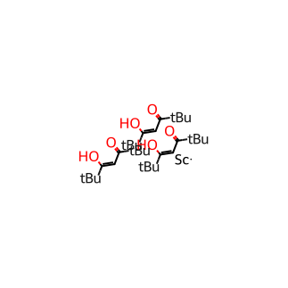 CC(C)(C)C(=O)/C=C(\O)C(C)(C)C.CC(C)(C)C(=O)/C=C(\O)C(C)(C)C.CC(C)(C)C(=O)/C=C(\O)C(C)(C)C.[Sc]